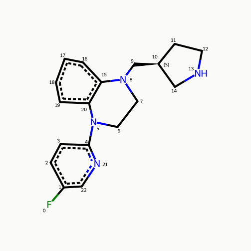 Fc1ccc(N2CCN(C[C@H]3CCNC3)c3ccccc32)nc1